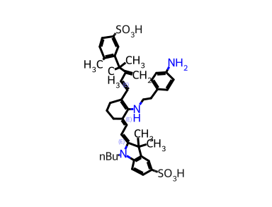 C=C(/C=C/C1=C(NCCc2ccc(N)cc2)C(=C/C=C2/N(CCCC)c3ccc(S(=O)(=O)O)cc3C2(C)C)/CCC1)C(C)(C)c1cc(S(=O)(=O)O)ccc1C